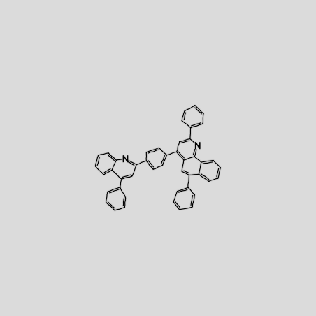 c1ccc(-c2cc(-c3ccc(-c4cc(-c5ccccc5)c5ccccc5n4)cc3)c3cc(-c4ccccc4)c4ccccc4c3n2)cc1